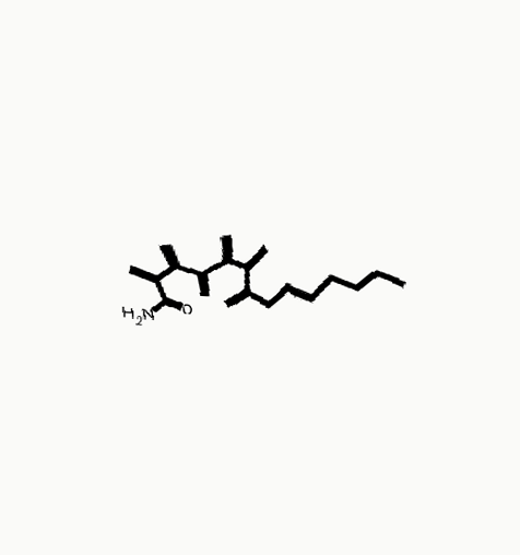 C=C(CCCCCCC)C(=C)C(=C)C(=C)C(=C)C(=C)C(N)=O